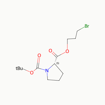 CC(C)(C)OC(=O)N1CCC[C@H]1C(=O)OCCCBr